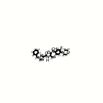 CN1C(=O)[C@@H](NC(=O)c2ncn(Cc3ccccc3)n2)CSc2cc(N3CCOCC3)c(F)cc21